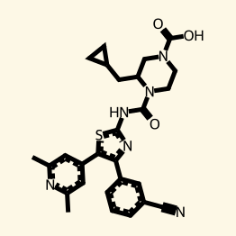 Cc1cc(-c2sc(NC(=O)N3CCN(C(=O)O)CC3CC3CC3)nc2-c2cccc(C#N)c2)cc(C)n1